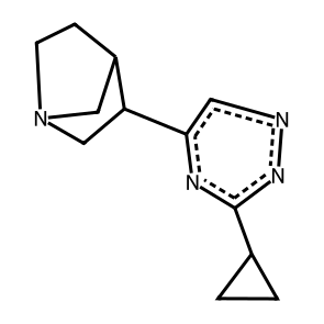 c1nnc(C2CC2)nc1C1CN2CCC1C2